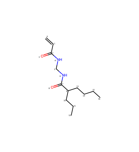 C=CC(=O)NCNC(=O)C(CCC)CCCC